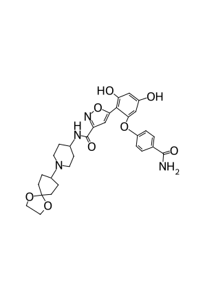 NC(=O)c1ccc(Oc2cc(O)cc(O)c2-c2cc(C(=O)NC3CCN(C4CCC5(CC4)OCCO5)CC3)no2)cc1